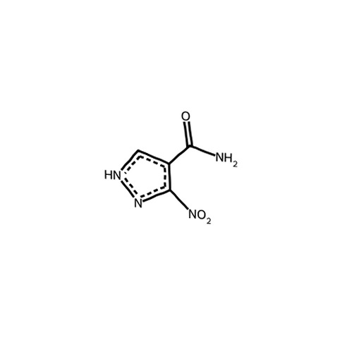 NC(=O)c1c[nH]nc1[N+](=O)[O-]